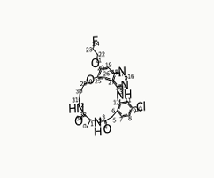 CC1NC(=O)Cc2ccc(Cl)cc2Nc2ncnc3cc(OCCF)c(cc23)OCCCNC1=O